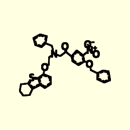 O=C(CN(CCOc1cccc2c3c(sc12)CCCC3)Cc1ccccc1)c1ccc(OCc2ccccc2)c([N+](=O)[O-])c1